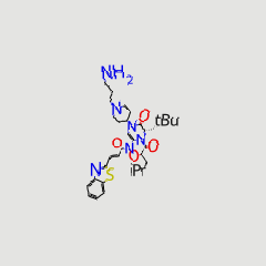 CC(C)C[C@H]1ON(C(=O)/C=C/c2nc3ccccc3s2)C2=CN(C3CCN(CCCN)CC3)C(=O)[C@H](CC(C)(C)C)N2C1=O